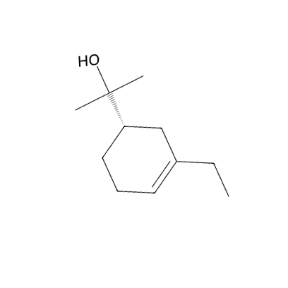 CCC1=CCC[C@H](C(C)(C)O)C1